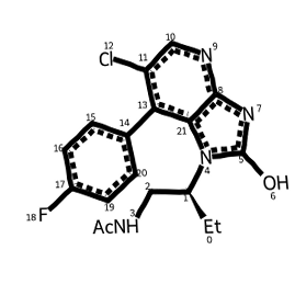 CC[C@@H](CNC(C)=O)n1c(O)nc2ncc(Cl)c(-c3ccc(F)cc3)c21